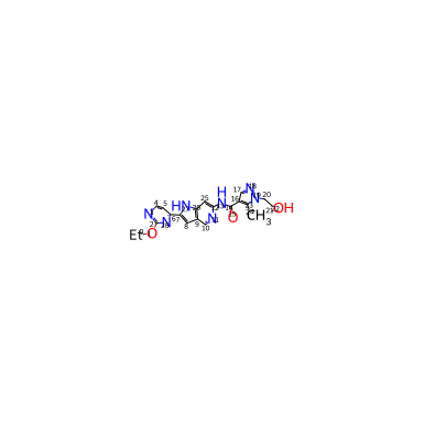 CCOc1nccc(-c2cc3cnc(NC(=O)c4cnn(CCO)c4C)cc3[nH]2)n1